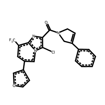 O=C(c1nc2c(C(F)(F)F)cc(-c3ccoc3)cn2c1Cl)N1CC=C(c2ccccc2)C1